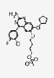 CS(=O)(=O)OCCCCOc1cc2c(-c3ccc(F)c(Cl)c3)nc(N)nc2cc1OC1CCCC1